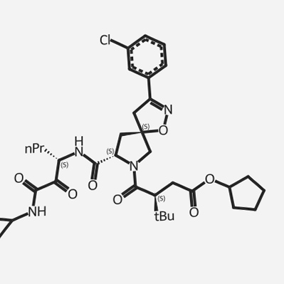 CCC[C@H](NC(=O)[C@@H]1C[C@]2(CC(c3cccc(Cl)c3)=NO2)CN1C(=O)[C@@H](CC(=O)OC1CCCC1)C(C)(C)C)C(=O)C(=O)NC1CC1